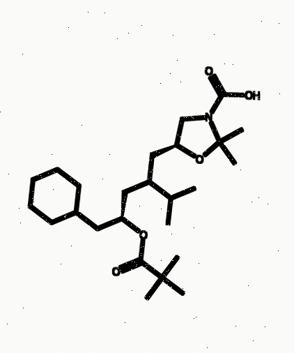 CC(C)C(C[C@H](CC1CCCCC1)OC(=O)C(C)(C)C)C[C@H]1CN(C(=O)O)C(C)(C)O1